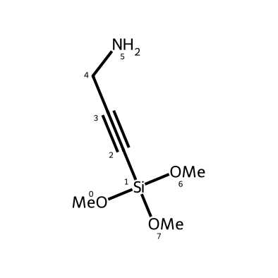 CO[Si](C#CCN)(OC)OC